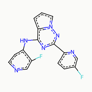 Fc1ccc(-c2nc(Nc3ccncc3F)c3cccn3n2)nc1